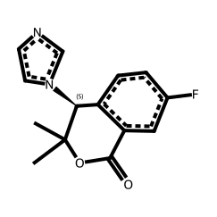 CC1(C)OC(=O)c2cc(F)ccc2[C@@H]1n1ccnc1